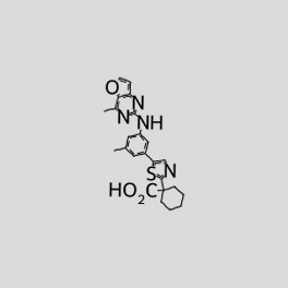 Cc1cc(Nc2nc(C)c3occc3n2)cc(-c2cnc(C3(C(=O)O)CCCCC3)s2)c1